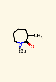 CC1CCCCN(C(C)(C)C)C1=O